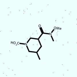 CON(C)C(=O)C1CC(C)CN(C(=O)O)C1